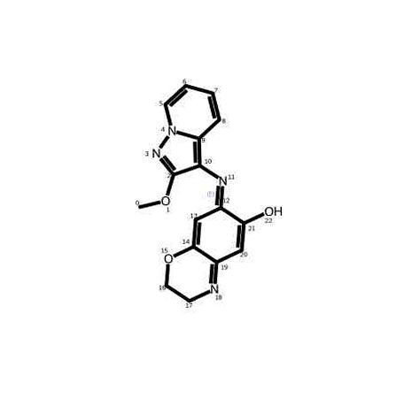 COc1nn2ccccc2c1/N=C1\C=C2OCCN=C2C=C1O